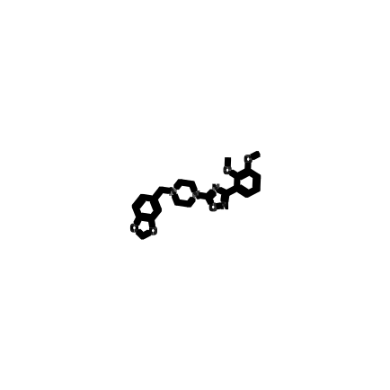 COc1cccc(-c2noc(N3CCN(Cc4ccc5c(c4)OCO5)CC3)n2)c1OC